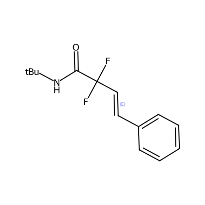 CC(C)(C)NC(=O)C(F)(F)/C=C/c1ccccc1